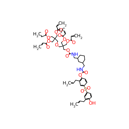 C=CCc1cc(S(=O)(=O)c2ccc(OC(=O)NCC3CCCC(CNC(=O)OCC(COCC(COC(=O)C=C)(COC(=O)C=C)COC(=O)C=C)(COC(=O)C=C)COC(=O)C=C)C3)c(CC=C)c2)ccc1O